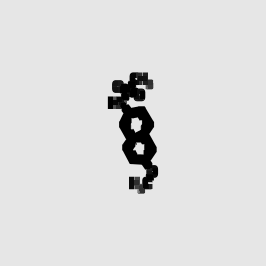 COc1ccc2cc(NS(C)(=O)=O)ccc2c1